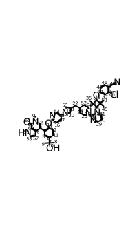 Cn1cc(-c2cc(C(C)(C)O)ccc2Oc2ccc(N3CC(CC4CCN(C5N=CC=CN5C5C(C)(C)C(Oc6ccc(C#N)c(Cl)c6)C5(C)C)CC4)C3)cn2)c2cc[nH]c2c1=O